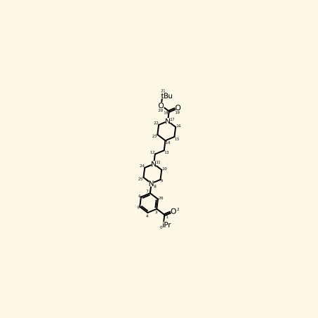 CC(C)C(=O)c1cccc(N2CCN(CCC3CCN(C(=O)OC(C)(C)C)CC3)CC2)c1